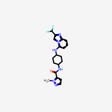 Cn1nccc1C(=O)NC1CCC(Nc2cccc3nc(C(F)F)cn23)CC1